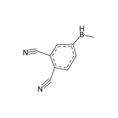 CBc1ccc(C#N)c(C#N)c1